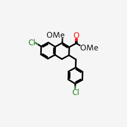 COC(=O)C1=C(OC)c2cc(Cl)ccc2CC1Cc1ccc(Cl)cc1